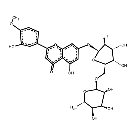 COc1ccc(-c2cc(=O)c3c(O)cc(O[C@@H]4O[C@H](CO[C@@H]5O[C@@H](C)[C@H](O)[C@H](O)[C@@H]5O)[C@@H](O)[C@@H](O)[C@@H]4O)cc3o2)cc1O